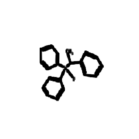 CC(c1ccccc1)[Si](F)(c1ccccc1)c1ccccc1